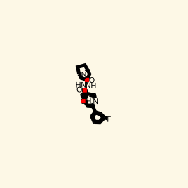 O=C(NC1CC2CCC(C1)N2C(=O)NCCO)c1ccc(-c2cccc(F)c2)nc1